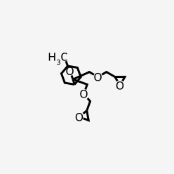 CC12CCC(CC1)C(COCC1CO1)(COCC1CO1)O2